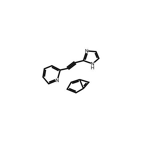 C(#Cc1ncc[nH]1)c1ccccn1.c1cc2cc-2c1